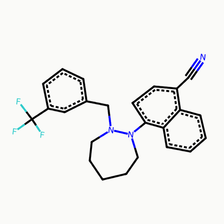 N#Cc1ccc(N2CCCCCN2Cc2cccc(C(F)(F)F)c2)c2ccccc12